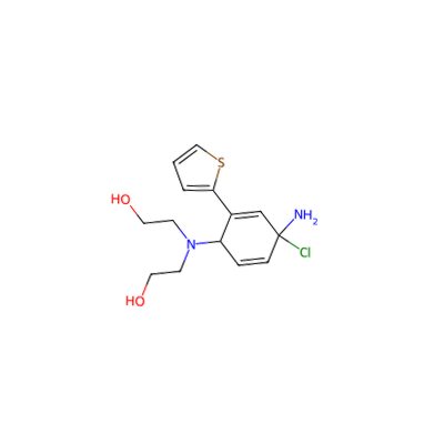 NC1(Cl)C=CC(N(CCO)CCO)C(c2cccs2)=C1